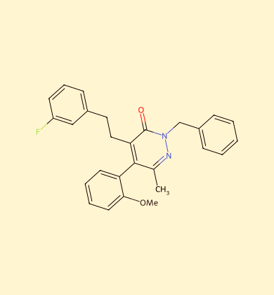 COc1ccccc1-c1c(C)nn(Cc2ccccc2)c(=O)c1CCc1cccc(F)c1